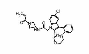 C=CC(=O)N1CC(NC(=O)Cn2c(C)c(-c3ccccc3N3CCOCC3)c3cc(Cl)ccc32)C1